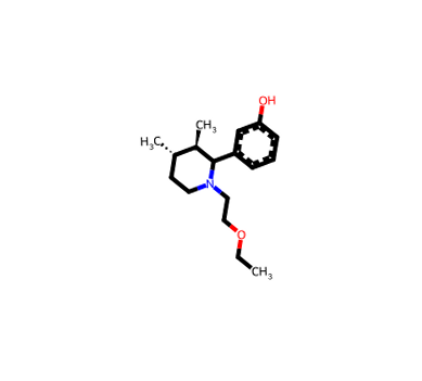 CCOCCN1CC[C@H](C)[C@@H](C)C1c1cccc(O)c1